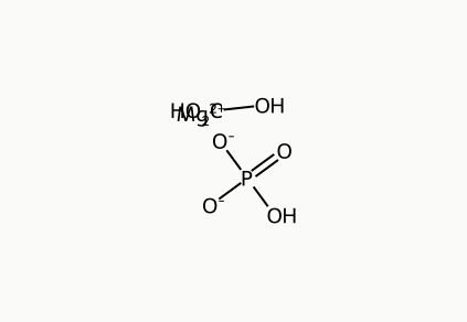 O=C(O)O.O=P([O-])([O-])O.[Mg+2]